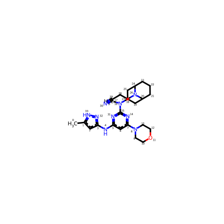 Cc1cc(Nc2cc(N3CCOCC3)nc(N(C)C3CC4CCCC(C3)N4CCC#N)n2)n[nH]1